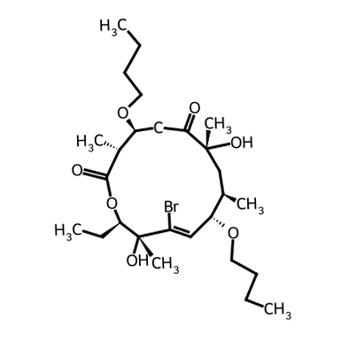 CCCCO[C@H]1CC(=O)[C@](C)(O)C[C@@H](C)[C@H](OCCCC)/C=C(\Br)[C@](C)(O)[C@@H](CC)OC(=O)[C@@H]1C